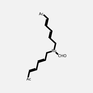 CC(=O)C=CC=C[CH2][Ru]([CH]=O)[CH2]C=CC=CC(C)=O